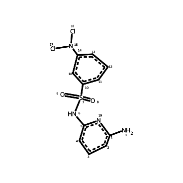 Nc1cccc(NS(=O)(=O)c2cccc(N(Cl)Cl)c2)n1